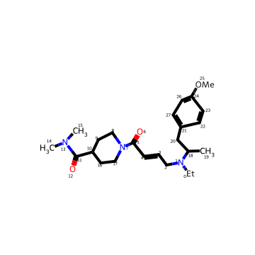 CCN(CC=CC(=O)N1CCC(C(=O)N(C)C)CC1)C(C)Cc1ccc(OC)cc1